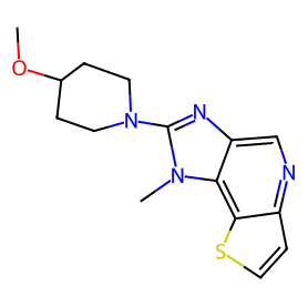 COC1CCN(c2nc3cnc4ccsc4c3n2C)CC1